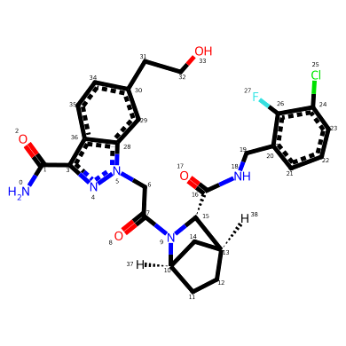 NC(=O)c1nn(CC(=O)N2[C@@H]3CC[C@@H](C3)[C@H]2C(=O)NCc2cccc(Cl)c2F)c2cc(CCO)ccc12